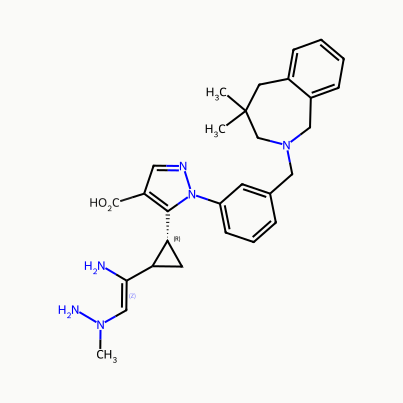 CN(N)/C=C(\N)C1C[C@H]1c1c(C(=O)O)cnn1-c1cccc(CN2Cc3ccccc3CC(C)(C)C2)c1